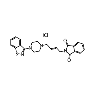 Cl.O=C1c2ccccc2C(=O)N1C/C=C/CN1CCN(c2nsc3ccccc23)CC1